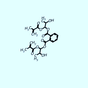 C=C(C)C(=O)OC(OC(=O)c1ccccc1C(=O)OC(OC(=O)C(=C)C)C(C)O)C(C)O